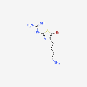 N=C(N)Nc1nc(CCCCN)c(Br)s1